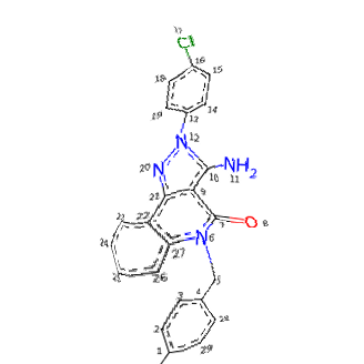 COc1ccc(Cn2c(=O)c3c(N)n(-c4ccc(Cl)cc4)nc3c3ccccc32)cc1